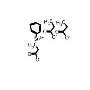 CCC(=O)[O-].CCC(=O)[O-].CCC(=O)[O-].[Sn+3][c]1ccccc1